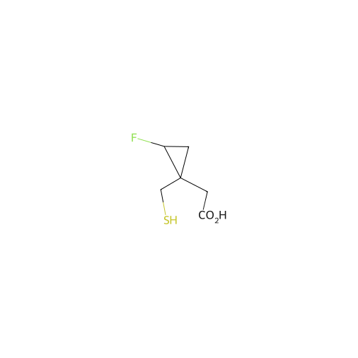 O=C(O)CC1(CS)CC1F